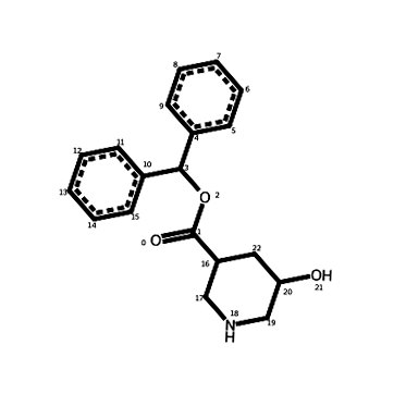 O=C(OC(c1ccccc1)c1ccccc1)C1CNCC(O)C1